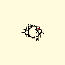 C[C@@H]1C[C@@H]2CC[P@@](C)(=O)C[C@@H]3[C@@H](CC[P@](C)(=O)C[C@@H]1C2(C)C)C[C@@H](C)C3(C)C